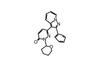 O=c1ccc(-c2c(-c3ccccc3)nn3ccccc23)nn1C1CCCCO1